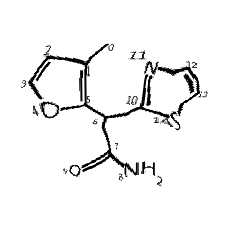 Cc1ccoc1C(C(N)=O)c1nccs1